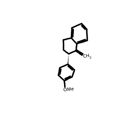 C=C1c2ccccc2CC[C@H]1c1ccc(OC)cc1